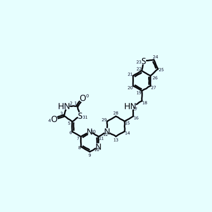 O=C1NC(=O)C(=Cc2ccnc(N3CCC(CNCc4ccc5sccc5c4)CC3)n2)S1